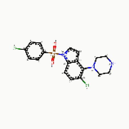 O=S(=O)(c1ccc(Cl)cc1)n1ccc2c(N3CCNCC3)c(Cl)ccc21